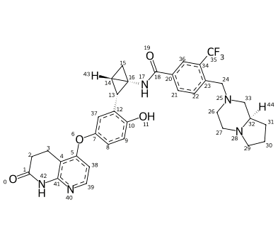 O=C1CCc2c(Oc3ccc(O)c([C@@H]4[C@@H]5C[C@@]45NC(=O)c4ccc(CN5CCN6CCC[C@@H]6C5)c(C(F)(F)F)c4)c3)ccnc2N1